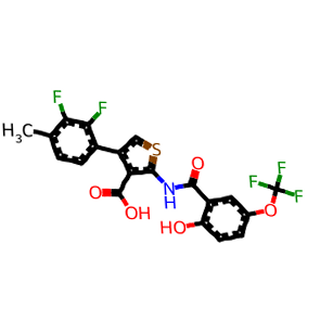 Cc1ccc(-c2csc(NC(=O)c3cc(OC(F)(F)F)ccc3O)c2C(=O)O)c(F)c1F